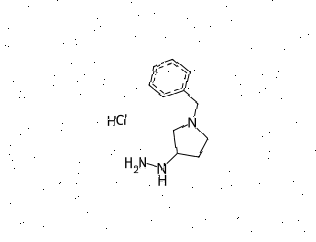 Cl.NNC1CCN(Cc2ccccc2)C1